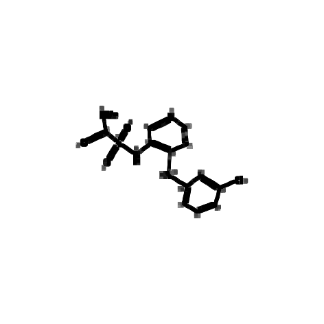 CNC(=O)S(=O)(=O)Nc1cnccc1Nc1cccc(Cl)c1